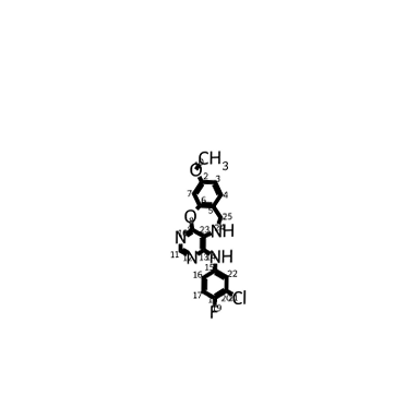 COc1ccc2c(c1)Oc1ncnc(Nc3ccc(F)c(Cl)c3)c1NC2